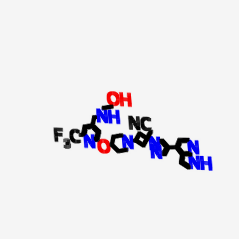 N#CCC1(n2cc(-c3ccnc4[nH]ccc34)cn2)CC(N2CCC(Oc3cc(CNCCO)cc(C(F)(F)F)n3)CC2)C1